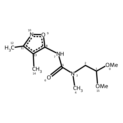 COC(CN(C)C(=O)Nc1onc(C)c1C)OC